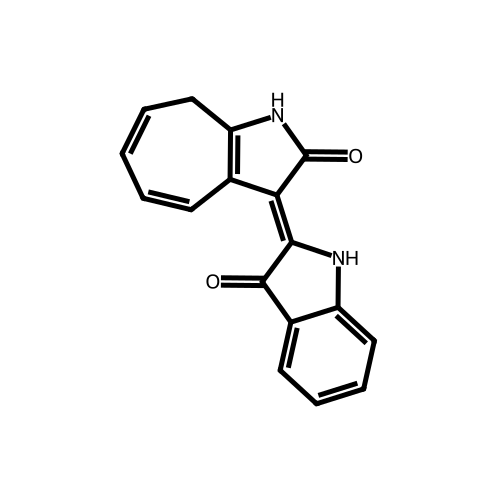 O=C1NC2=C(C=CC=CC2)/C1=C1/Nc2ccccc2C1=O